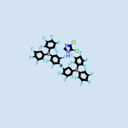 Clc1nc[nH]c1Cl.Fc1c(F)c(F)c(B(c2c(F)c(F)c(F)c(F)c2F)c2c(F)c(F)c(F)c(F)c2F)c(F)c1F.Fc1c(F)c(F)c(B(c2c(F)c(F)c(F)c(F)c2F)c2c(F)c(F)c(F)c(F)c2F)c(F)c1F